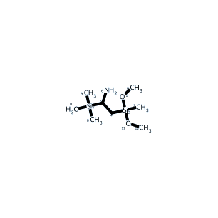 CO[Si](C)(CC(N)[Si](C)(C)C)OC